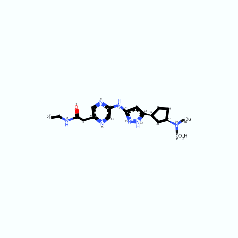 [2H]CNC(=O)Cc1cnc(Nc2cc([C@H]3CC[C@@H](N(C(=O)O)C(C)CC)C3)[nH]n2)cn1